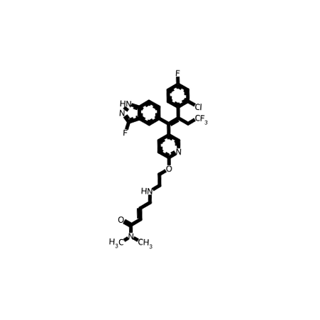 CN(C)C(=O)C=CCNCCOc1ccc(C(=C(CC(F)(F)F)c2ccc(F)cc2Cl)c2ccc3[nH]nc(F)c3c2)cn1